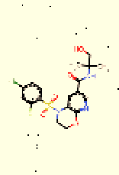 CC(C)(CO)NC(=O)c1cnc2c(c1)N(S(=O)(=O)c1ccc(Cl)cc1F)CCO2